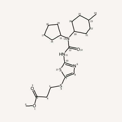 COC(=O)CCSc1cnc(NC(=O)N(C2CCCC2)C2CCC(C)CC2)s1